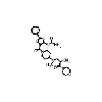 CC(CN(C)C1CCN(C(=O)c2nc(-c3ccccc3)sc2NC(N)=O)CC1)C(=O)N1CCOCC1